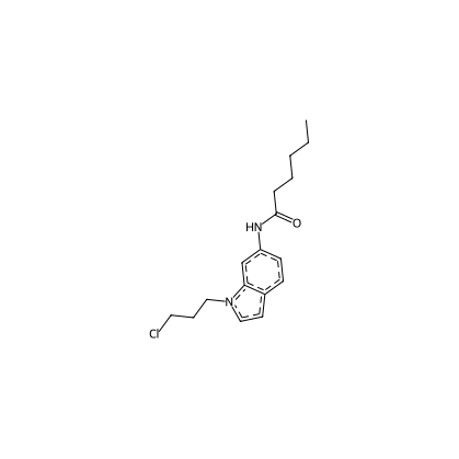 CCCCCC(=O)Nc1ccc2ccn(CCCCl)c2c1